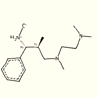 [CH2-][NH2+][C@@H](c1ccccc1)[C@@H](C)CN(C)CCN(C)C